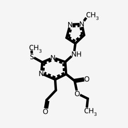 CCOC(=O)c1c(CC=O)nc(SC)nc1Nc1cnn(C)c1